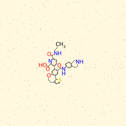 CCCNC(=O)c1ccc(-c2cc3c(cc2C(=O)Nc2ccc4c(c2)CCNC4)-c2sccc2CCO3)c(C(=O)O)n1